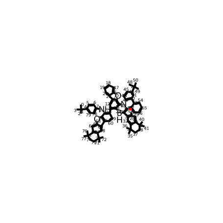 CC(C)(C)c1ccc(Nc2c(-c3cc4c(oc5ccccc54)c4c3Bc3c(sc5cc6c(cc35)C(C)(C)CCC6(C)C)N4c3ccc(C(C)(C)C)cc3-c3ccccc3)ccc3c2oc2cc4c(cc23)C(C)(C)CCC4(C)C)cc1